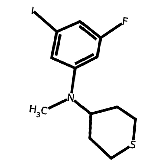 CN(c1cc(F)cc(I)c1)C1CCSCC1